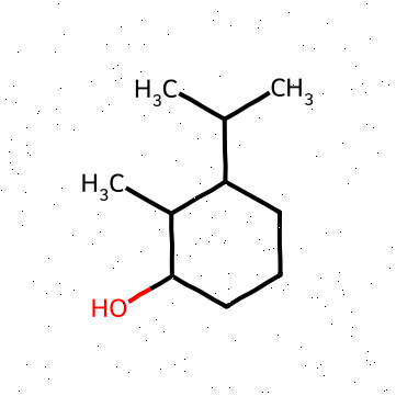 CC(C)C1CCCC(O)C1C